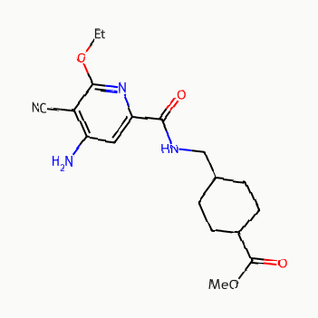 CCOc1nc(C(=O)NCC2CCC(C(=O)OC)CC2)cc(N)c1C#N